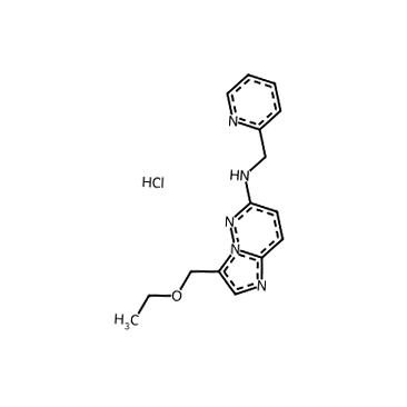 CCOCc1cnc2ccc(NCc3ccccn3)nn12.Cl